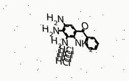 Cl.Cl.Cl.Cl.Nc1cc(C(=O)c2ccccc2)c(N)c(N)c1N